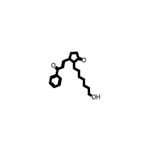 O=C(C=CC1CCC(=O)C1CCCCCCCO)c1ccccc1